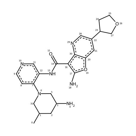 CC1CC(N)CN(c2ccncc2NC(=O)c2c(N)oc3cc(C4CCOC4)cnc23)C1